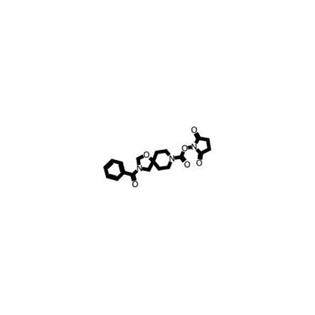 O=C(ON1C(=O)CCC1=O)N1CCC2(CC1)CN(C(=O)c1ccccc1)CO2